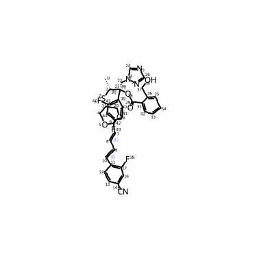 C[C@@H](S[C@H]1CO[C@H](/C=C/C=C/c2ccc(C#N)cc2F)OC1)[C@@](Cn1cncn1)(OC(=O)c1ccccc1CO)c1ccc(F)cc1F